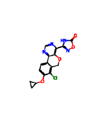 O=c1[nH]c(-c2ncnc3c2OCc2c-3ccc(OC3CC3)c2Cl)no1